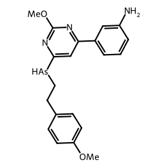 COc1ccc(CC[AsH]c2cc(-c3cccc(N)c3)nc(OC)n2)cc1